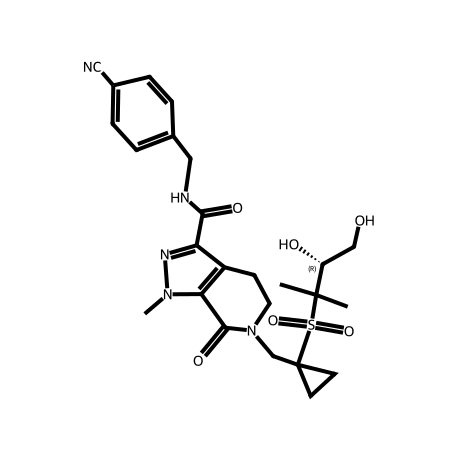 Cn1nc(C(=O)NCc2ccc(C#N)cc2)c2c1C(=O)N(CC1(S(=O)(=O)C(C)(C)[C@H](O)CO)CC1)CC2